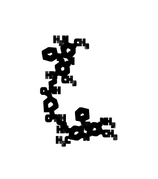 Cc1cc2nc3cc(C)c(NCCNC(=O)C4CCC(C(=O)NCCNc5cc6c(cc5C)nc5cc(C)c(N)cc5[n+]6-c5ccccc5)CC4)cc3[n+](-c3ccccc3)c2cc1N